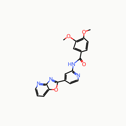 COc1ccc(C(=O)Nc2cc(-c3nc4ncccc4o3)ccn2)cc1OC